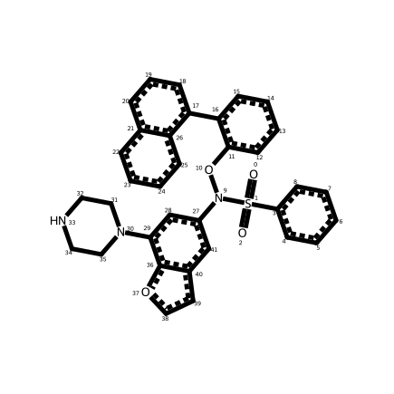 O=S(=O)(c1ccccc1)N(Oc1ccccc1-c1cccc2ccccc12)c1cc(N2CCNCC2)c2occc2c1